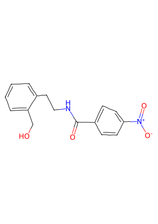 O=C(NCCc1ccccc1CO)c1ccc([N+](=O)[O-])cc1